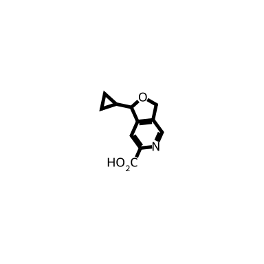 O=C(O)c1cc2c(cn1)COC2C1CC1